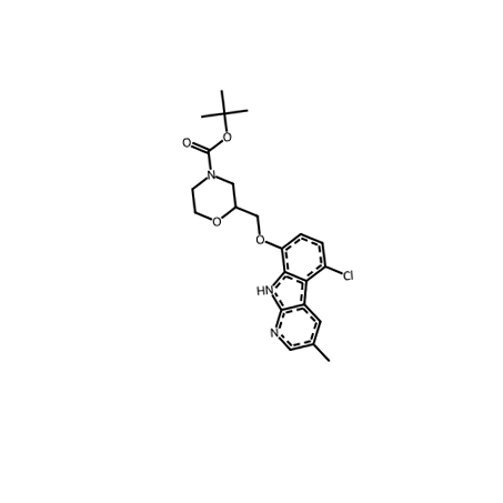 Cc1cnc2[nH]c3c(OCC4CN(C(=O)OC(C)(C)C)CCO4)ccc(Cl)c3c2c1